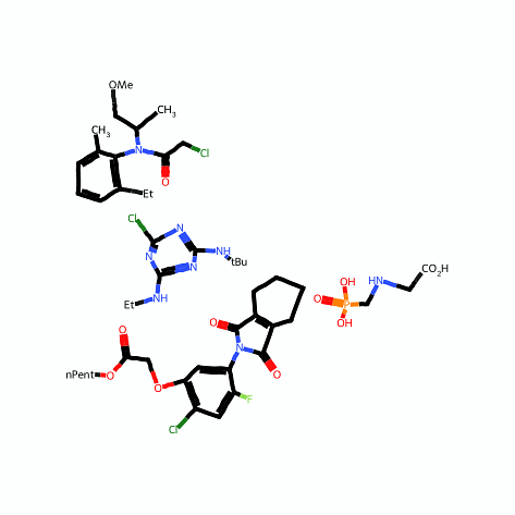 CCCCCOC(=O)COc1cc(N2C(=O)C3=C(CCCC3)C2=O)c(F)cc1Cl.CCNc1nc(Cl)nc(NC(C)(C)C)n1.CCc1cccc(C)c1N(C(=O)CCl)C(C)COC.O=C(O)CNCP(=O)(O)O